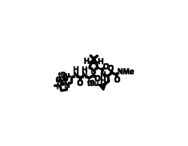 CNC(=O)C(=O)C(CC1CC1)NC(=O)[C@@H]1[C@@H]2[C@H](CN1C(=O)[C@@H](NC(=O)N[C@H](CN1CCN(C)S1(=O)=O)C(C)(C)C)C(C)(C)C)C2(C)C